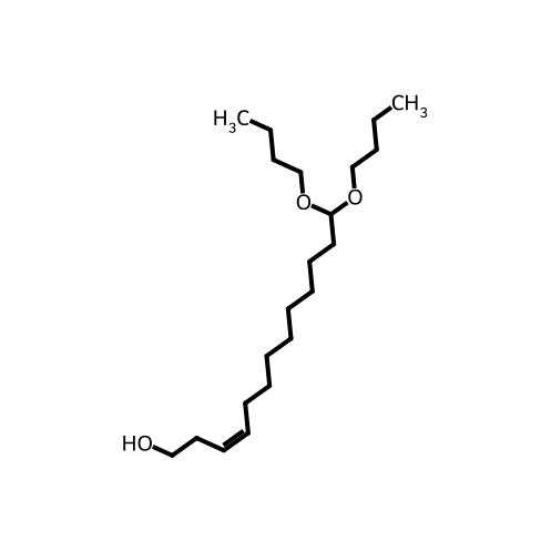 CCCCOC(CCCCCCCC/C=C\CCO)OCCCC